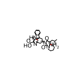 Cc1sc(C[C@@H](Cc2c[nH]c3ccccc23)N(C(=O)[C@@H](N)CC(C)C)C(=O)N2CCCCCC2)nc1C(=O)O